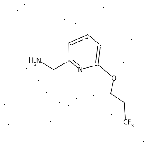 NCc1cccc(OCCC(F)(F)F)n1